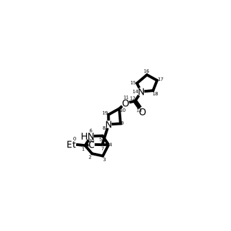 CCC12CCC(CN1)C(N1CC(OC(=O)N3CCCC3)C1)C2